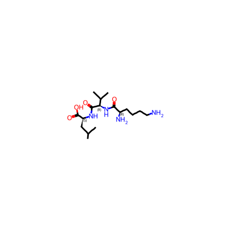 CC(C)C[C@H](NC(=O)[C@H](NC(=O)[C@H](N)CCCCN)C(C)C)C(=O)O